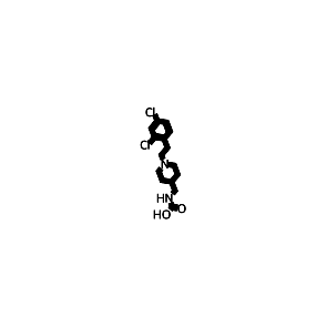 O=C(O)NCC1CCN(CCc2ccc(Cl)cc2Cl)CC1